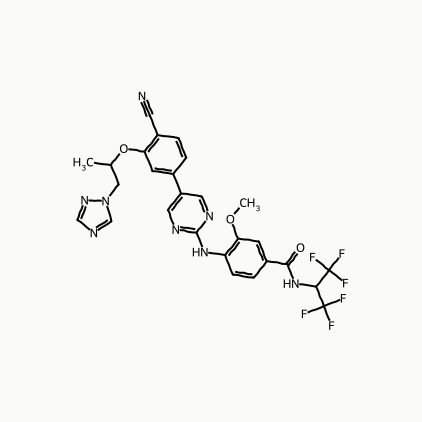 COc1cc(C(=O)NC(C(F)(F)F)C(F)(F)F)ccc1Nc1ncc(-c2ccc(C#N)c(OC(C)Cn3cncn3)c2)cn1